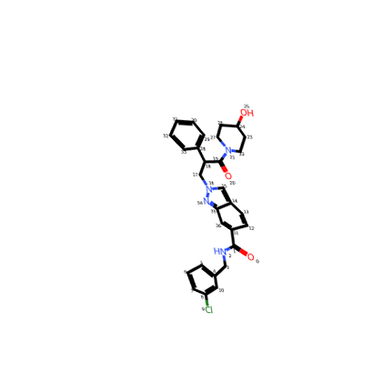 O=C(NCc1cccc(Cl)c1)c1ccc2cn(CC(C(=O)N3CCC(O)CC3)c3ccccc3)nc2c1